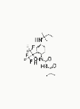 CCC(C)(C)Nc1ccc(NC(=O)BC(=O)C(C)C)c(C(O)(C(F)(F)F)C(F)(F)F)c1